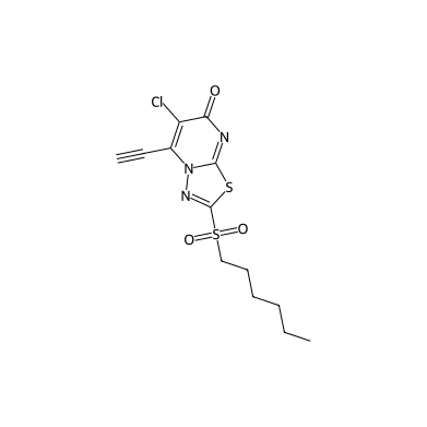 C#Cc1c(Cl)c(=O)nc2sc(S(=O)(=O)CCCCCC)nn12